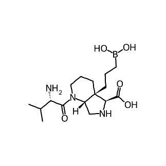 CC(C)[C@H](N)C(=O)N1CCC[C@]2(CCCB(O)O)[C@@H](C(=O)O)NC[C@H]12